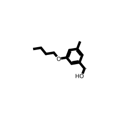 CCCCOc1cc(C)cc([CH]O)c1